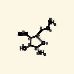 COC1C(O)[C@@H](N)O[C@@H]1CON